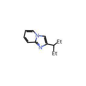 CCC(CC)c1cn2ccccc2n1